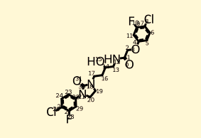 O=C(COc1ccc(Cl)c(F)c1)NCC(O)CCN1CCN(c2ccc(Cl)c(F)c2)C1=O